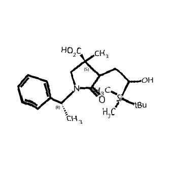 C[C@H](c1ccccc1)N1C[C@@](C)(C(=O)O)C(CC(O)[Si](C)(C)C(C)(C)C)C1=O